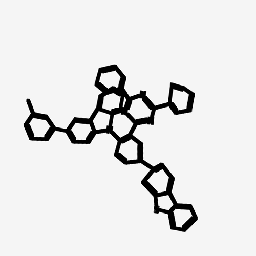 Cc1cccc(-c2ccc3c(c2)c2ccccc2n3-c2ccc(-c3ccc4c(c3)sc3ccccc34)cc2-c2nc(-c3ccccc3)nc(-c3ccccc3)n2)c1